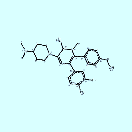 CN(C)C1CCN(C2=CC(c3ccc(C#N)c(F)c3)=C(c3ccc(CO)cc3)N(C)C2O)CC1